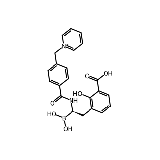 O=C(N[C@@H](Cc1cccc(C(=O)O)c1O)B(O)O)c1ccc(C[n+]2ccccc2)cc1